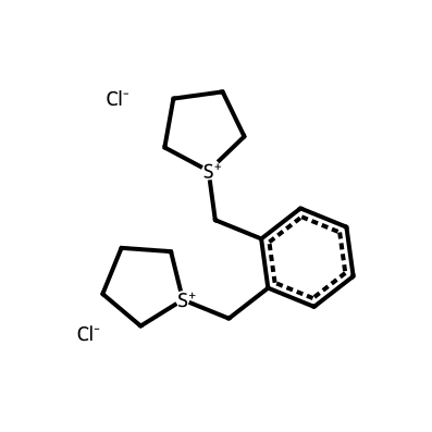 [Cl-].[Cl-].c1ccc(C[S+]2CCCC2)c(C[S+]2CCCC2)c1